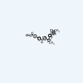 CCN(C)S(=O)(=O)Nc1cccc(-c2nc(C)sc2-c2ccnc(Nc3ccc(N4CCN(C(=O)OC(C)(C)C)CC4)cn3)n2)c1F